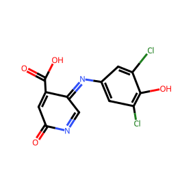 O=C1C=C(C(=O)O)C(=Nc2cc(Cl)c(O)c(Cl)c2)C=N1